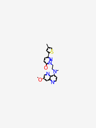 COc1cnc2c(N(C)CCn3nc(-c4cc(C)cs4)ccc3=O)ccnc2c1